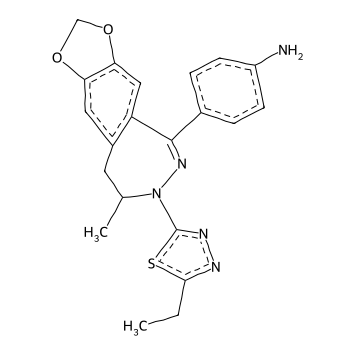 CCc1nnc(N2N=C(c3ccc(N)cc3)c3cc4c(cc3CC2C)OCO4)s1